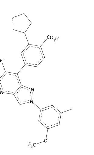 Cc1cc(OC(F)(F)F)cc(-n2cc3ncc(F)c(-c4ccc(C(=O)O)c(C5CCCC5)c4)c3n2)c1